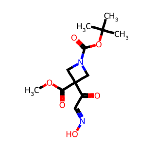 COC(=O)C1(C(=O)C=NO)CN(C(=O)OC(C)(C)C)C1